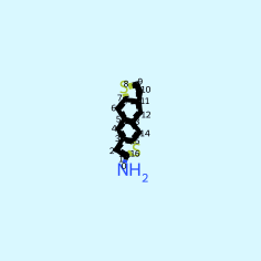 Nc1cc2cc3cc4sccc4cc3cc2s1